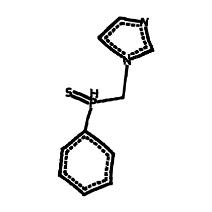 S=[PH](Cn1ccnc1)c1ccccc1